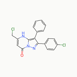 O=c1cc(CCl)[nH]c2c(-c3ccccc3)c(-c3ccc(Cl)cc3)nn12